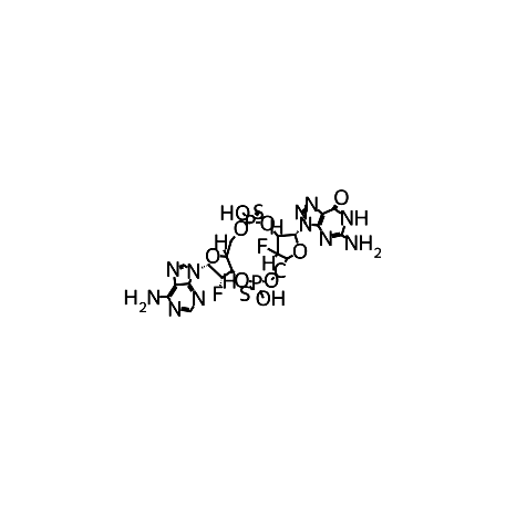 Nc1nc2c(nnn2[C@@H]2OC3COP(O)(=S)O[C@H]4[C@H](F)[C@H](n5cnc6c(N)ncnc65)O[C@@H]4COP(O)(=S)O[C@@H]2[C@H]3F)c(=O)[nH]1